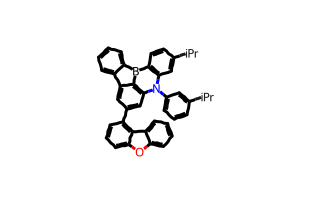 CC(C)c1cccc(N2c3cc(C(C)C)ccc3B3c4ccccc4-c4cc(-c5cccc6oc7ccccc7c56)cc2c43)c1